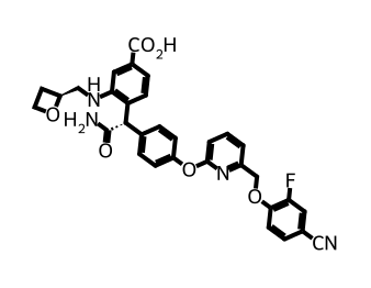 N#Cc1ccc(OCc2cccc(Oc3ccc([C@H](C(N)=O)c4ccc(C(=O)O)cc4NC[C@@H]4CCO4)cc3)n2)c(F)c1